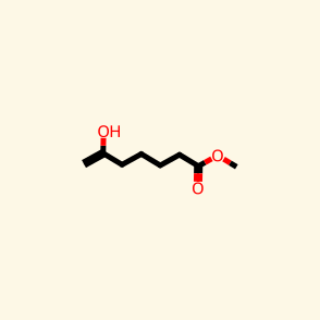 C=C(O)CCCCC(=O)OC